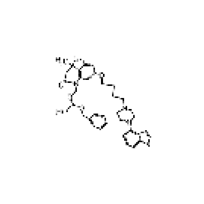 CC1(C)CC(=O)N(COC(O)OCc2ccccc2)c2cc(OCCCCN3CCN(c4cccc5sccc45)CC3)ccc21